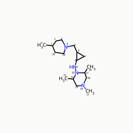 CC1CCN(CC2CC2NN2C(C)CN(C)CC2C)CC1